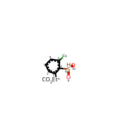 CCOC(=O)c1cccc(F)c1[SH](=O)=O